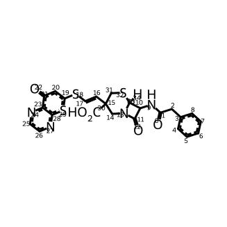 O=C(Cc1ccccc1)NC1C(=O)N2CC(C=CSc3cc(=O)c4nccnc4s3)(C(=O)O)CS[C@H]12